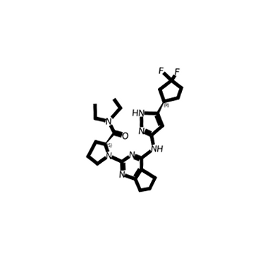 CCN(CC)C(=O)[C@@H]1CCCN1c1nc2c(c(Nc3cc([C@@H]4CCC(F)(F)C4)[nH]n3)n1)CCC2